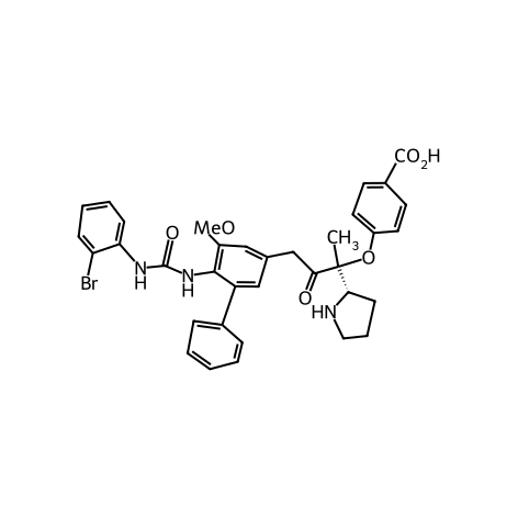 COc1cc(CC(=O)C(C)(Oc2ccc(C(=O)O)cc2)[C@@H]2CCCN2)cc(-c2ccccc2)c1NC(=O)Nc1ccccc1Br